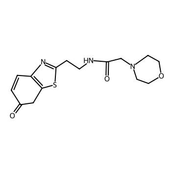 O=C1C=Cc2nc(CCNC(=O)CN3CCOCC3)sc2C1